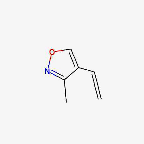 C=Cc1conc1C